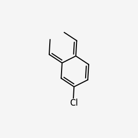 C/C=c1/ccc(Cl)c/c1=C/C